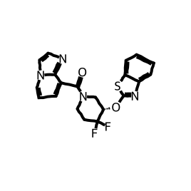 O=C(c1cccn2ccnc12)N1CCC(F)(F)[C@@H](Oc2nc3ccccc3s2)C1